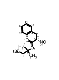 CC(C)(C)CC(C)(C)OC(=O)[C@H](Cc1ccccc1)N=O